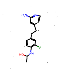 CB(O)Nc1ccc(CCc2ccnc(N)c2)cc1F